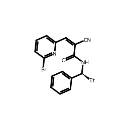 CC[C@H](NC(=O)C(C#N)=Cc1cccc(Br)n1)c1ccccc1